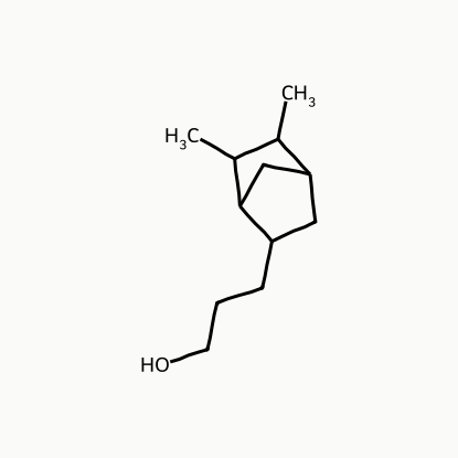 CC1C2CC(CCCO)C(C2)C1C